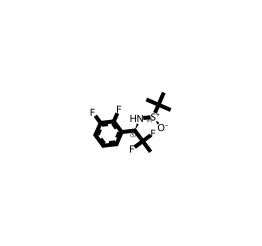 CC(F)(F)[C@@H](N[S@@+]([O-])C(C)(C)C)c1cccc(F)c1F